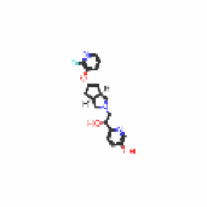 Oc1ccc([C@@H](O)CN2C[C@H]3C[C@H](Oc4cccnc4F)C[C@H]3C2)nc1